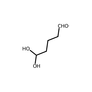 O=[C]CCCC(O)O